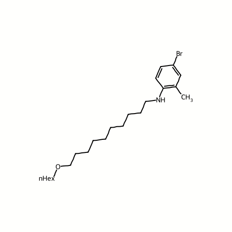 CCCCCCOCCCCCCCCCCNc1ccc(Br)cc1C